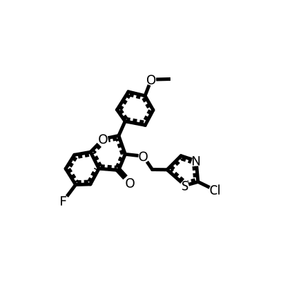 COc1ccc(-c2oc3ccc(F)cc3c(=O)c2OCc2cnc(Cl)s2)cc1